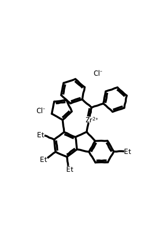 CCc1ccc2c(c1)[CH]([Zr+2]=[C](c1ccccc1)c1ccccc1)c1c(C3=CC=CC3)c(CC)c(CC)c(CC)c1-2.[Cl-].[Cl-]